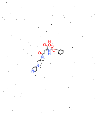 O=C(N[C@@H](CCC(=O)N1CCC2(CCN(c3ccncc3)CC2)C1)C(=O)O)OCc1ccccc1